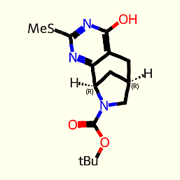 CSc1nc(O)c2c(n1)[C@H]1C[C@@H](C2)CN1C(=O)OC(C)(C)C